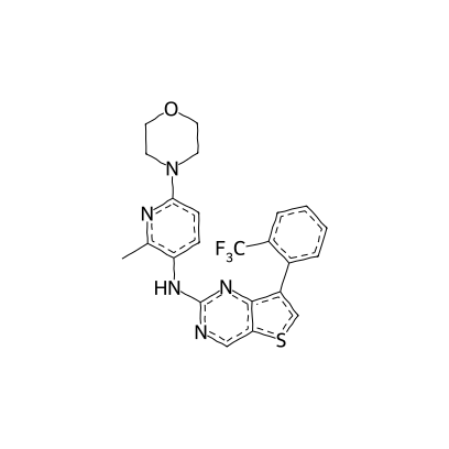 Cc1nc(N2CCOCC2)ccc1Nc1ncc2scc(-c3ccccc3C(F)(F)F)c2n1